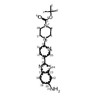 CC(C)(C)OC(=O)N1CCN(c2ccc(-c3nc4ccc(N)cc4s3)cn2)CC1